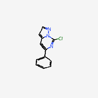 Clc1nc(-c2ccccc2)cc2ccnn12